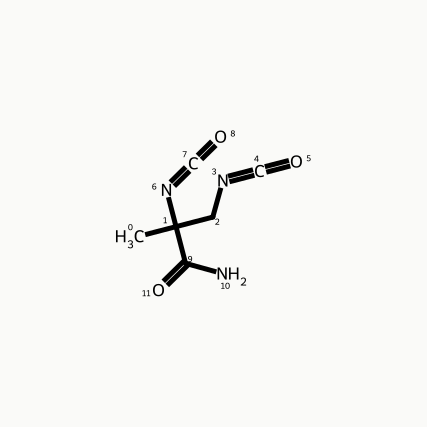 CC(CN=C=O)(N=C=O)C(N)=O